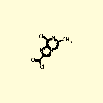 Cc1cn2cc(C(=O)Cl)nc2c(Cl)n1